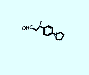 C[C@H](CC=O)c1ccc(N2CCCC2)cc1